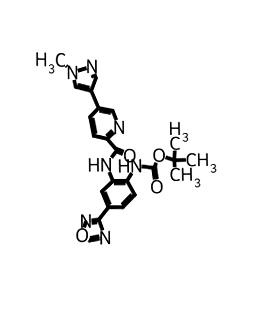 Cn1cc(-c2ccc(C(=O)Nc3cc(-c4ncon4)ccc3NC(=O)OC(C)(C)C)nc2)cn1